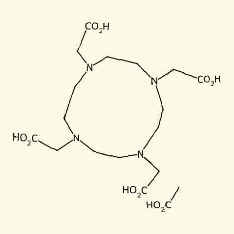 CC(=O)O.O=C(O)CN1CCN(CC(=O)O)CCN(CC(=O)O)CCN(CC(=O)O)CC1